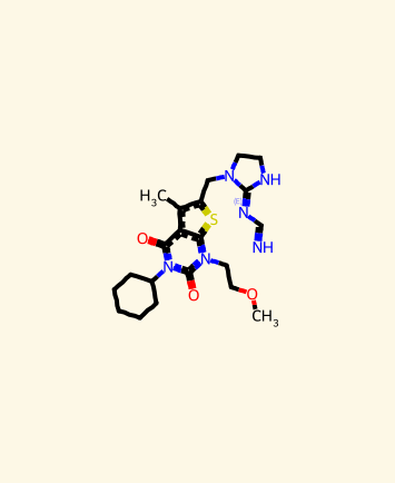 COCCn1c(=O)n(C2CCCCC2)c(=O)c2c(C)c(CN3CCN/C3=N\C=N)sc21